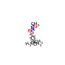 CC(=O)/N=N/C(=O)OCc1ccc(C(C)(C)C)cc1